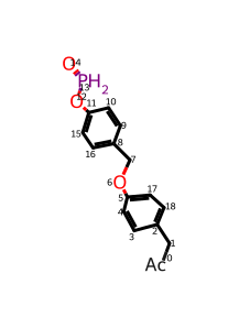 CC(=O)Cc1ccc(OCc2ccc(O[PH2]=O)cc2)cc1